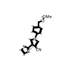 COOCc1ccc(-n2cc(C#N)c(-c3nccs3)c2)cc1